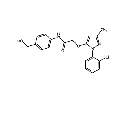 O=C(COc1cc(C(F)(F)F)nn1-c1ccccc1Cl)Nc1ccc(CO)cc1